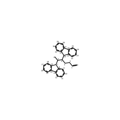 C=CCCC([C](C)C1c2ccccc2-c2ccccc21)C1c2ccccc2-c2ccccc21